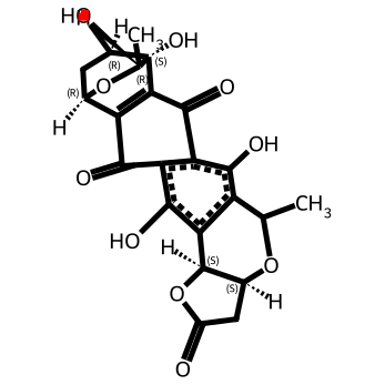 CC1O[C@H]2CC(=O)O[C@H]2c2c(O)c3c(c(O)c21)C(=O)C1=C(C3=O)[C@H]2C[C@@H](O)[C@]1(O)[C@@H](C)O2